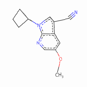 COc1cnc2c(c1)c(C#N)cn2C1CCC1